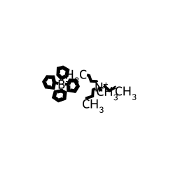 CCCC[N+](C)(CCCC)CCCC.c1ccc([B-](c2ccccc2)(c2ccccc2)c2ccccc2)cc1